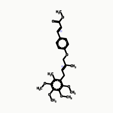 COC(=O)/C=C/c1ccc(OC/C(C)=C/Cc2c(C)c(OC)c(OC)c(OC)c2OC)cc1